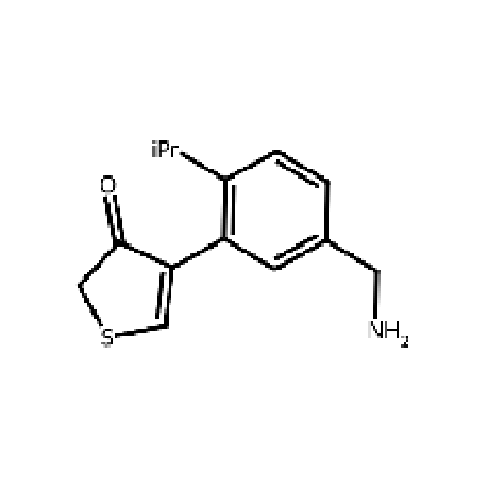 CC(C)c1ccc(CN)cc1C1=CSCC1=O